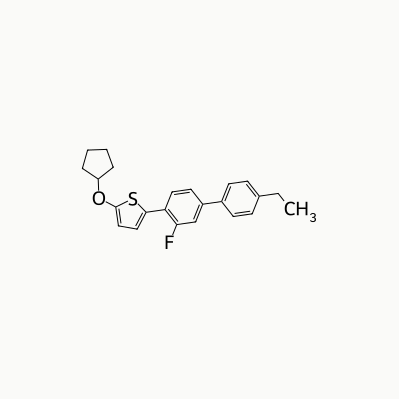 CCc1ccc(-c2ccc(-c3ccc(OC4CCCC4)s3)c(F)c2)cc1